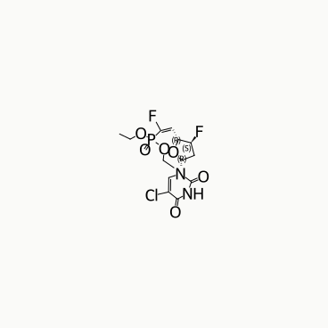 CCOP(=O)(OCC)C(F)=C[C@H]1O[C@@H](n2cc(Cl)c(=O)[nH]c2=O)C[C@@H]1F